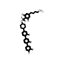 CCCCCc1cc(F)c(C(F)(F)OC2CCC(c3ccc(-c4ccc(-c5ccc(F)c(F)c5)c(F)c4)c(F)c3)CC2)c(F)c1